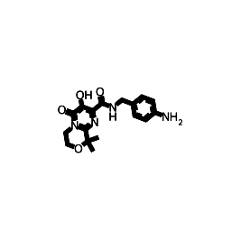 CC1(C)OCCn2c1nc(C(=O)NCc1ccc(N)cc1)c(O)c2=O